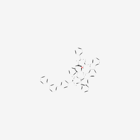 c1ccc(-c2cccc(-c3ccc(-c4nc(-c5ccccc5)nc(-c5ccccc5-n5c6ccccc6c6ccc7c8ccccc8n(-c8nc(-c9ccccc9)nc(-c9ccccc9)n8)c7c65)n4)cc3)c2)cc1